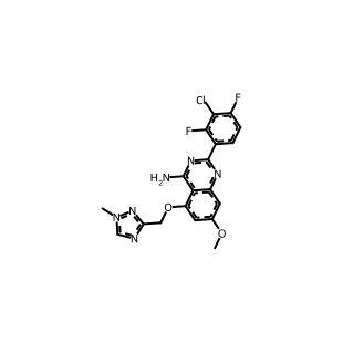 COc1cc(OCc2ncn(C)n2)c2c(N)nc(-c3ccc(F)c(Cl)c3F)nc2c1